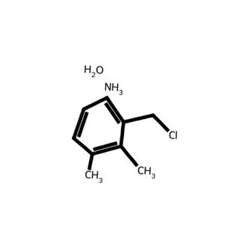 Cc1cccc(CCl)c1C.N.O